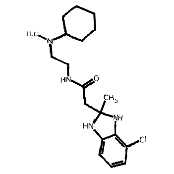 CN(CCNC(=O)CC1(C)Nc2cccc(Cl)c2N1)C1CCCCC1